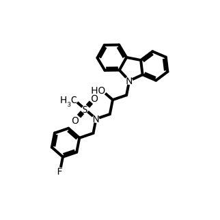 CS(=O)(=O)N(Cc1cccc(F)c1)CC(O)Cn1c2ccccc2c2ccccc21